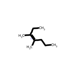 CCC/C(C)=C(/C)CC